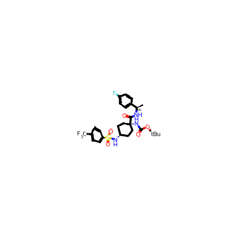 C[C@@H](NC(=O)[C@]1(NC(=O)OC(C)(C)C)CC[C@@H](NS(=O)(=O)c2ccc(C(F)(F)F)cc2)CC1)c1ccc(F)cc1